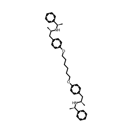 C[C@H](Cc1ccc(OCCCCCCOc2ccc(C[C@@H](C)N[C@H](C)c3ccccc3)cc2)cc1)N[C@H](C)c1ccccc1